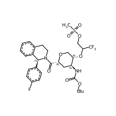 CC(C)(C)OC(=O)N[C@H]1C[C@H](C(=O)N2CCc3ccccc3[C@@H]2c2ccc(F)cc2)OC[C@@H]1OC(COS(C)(=O)=O)C(F)(F)F